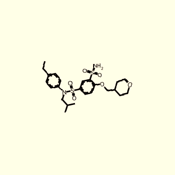 CCc1ccc(N(CC(C)C)S(=O)(=O)c2ccc(OCC3CCOCC3)c(S(N)(=O)=O)c2)cc1